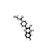 Cc1ccc2nc(C3CCN(C(=O)OC(C)(C)C)CC3)c(=O)[nH]c2c1